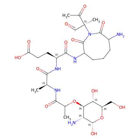 CC(=O)[C@](C)([C]=O)N1C(=O)C(N)CCCC(NC(=O)[C@H](CCC(=O)O)NC(=O)[C@H](C)NC(=O)C(C)O[C@@H]2[C@@H](N)[C@@H](O)O[C@H](CO)[C@H]2O)C1=O